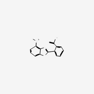 O=C(O)c1ccccc1-c1nc2c([N+](=O)[O-])cccc2s1